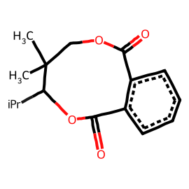 CC(C)C1OC(=O)c2ccccc2C(=O)OCC1(C)C